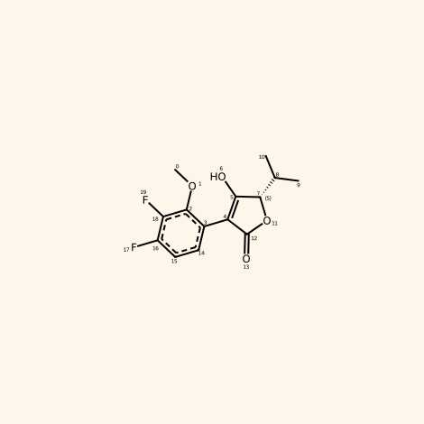 COc1c(C2=C(O)[C@H](C(C)C)OC2=O)ccc(F)c1F